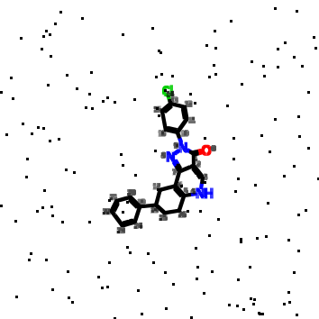 O=c1c2c[nH]c3c(c-2nn1-c1ccc(Cl)cc1)CC(c1ccccc1)CC3